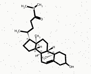 CC(CCC(=O)N(C)C)[C@H]1CC[C@H]2[C@@H]3CC=C4CC(O)CC[C@]4(C)[C@H]3CC[C@]12C